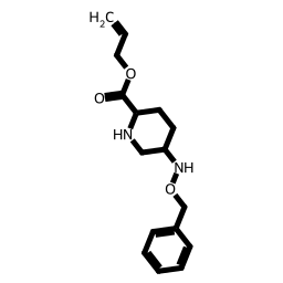 C=CCOC(=O)C1CCC(NOCc2ccccc2)CN1